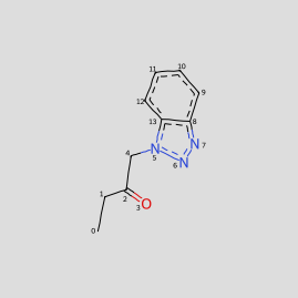 CCC(=O)Cn1nnc2ccccc21